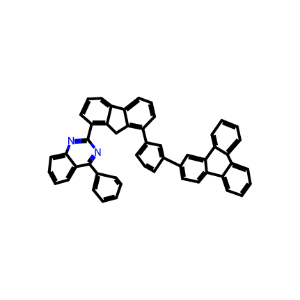 c1ccc(-c2nc(-c3cccc4c3Cc3c(-c5cccc(-c6ccc7c8ccccc8c8ccccc8c7c6)c5)cccc3-4)nc3ccccc23)cc1